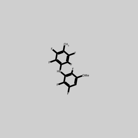 COc1cc(F)c(F)c(Bc2c(F)c(F)c(C)c(F)c2F)c1F